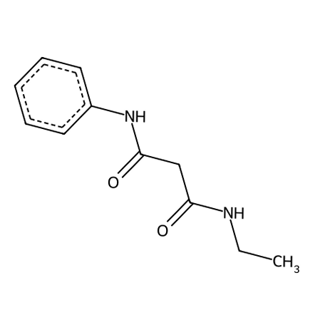 CCNC(=O)CC(=O)Nc1ccccc1